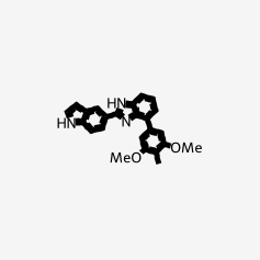 COc1cc(-c2cccc3[nH]c(-c4ccc5[nH]ccc5c4)nc23)cc(OC)c1C